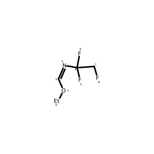 CCO/C=N\C(F)(F)CF